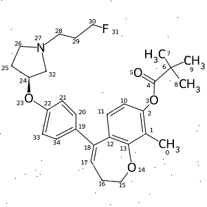 Cc1c(OC(=O)C(C)(C)C)ccc2c1OCCC=C2c1ccc(O[C@H]2CCN(CCCF)C2)cc1